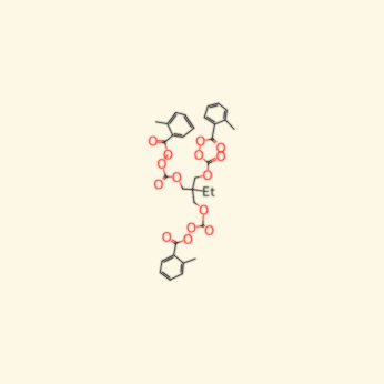 CCC(COC(=O)OOC(=O)c1ccccc1C)(COC(=O)OOC(=O)c1ccccc1C)COC(=O)OOC(=O)c1ccccc1C